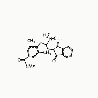 CNC(=O)c1cc(C)c(CC(CC2C(=O)c3ccccc3C2=O)N(C)C)c(C)c1